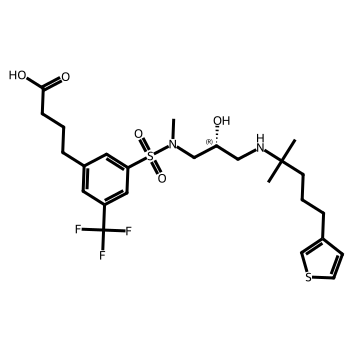 CN(C[C@H](O)CNC(C)(C)CCCc1ccsc1)S(=O)(=O)c1cc(CCCC(=O)O)cc(C(F)(F)F)c1